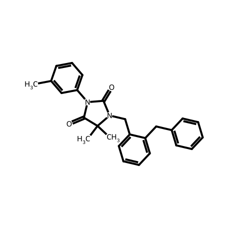 Cc1cccc(N2C(=O)N(Cc3ccccc3Cc3ccccc3)C(C)(C)C2=O)c1